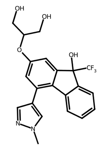 Cn1cc(-c2cc(OC(CO)CO)cc3c2-c2ccccc2C3(O)C(F)(F)F)cn1